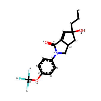 CCCC1(O)C=C2C(=O)N(c3ccc(OC(F)(F)F)cc3)CC2C1